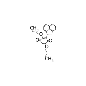 CCCCOC1=CC(=O)C(OCCCC)=C(C2Cc3cccc4cccc2c34)C1=O